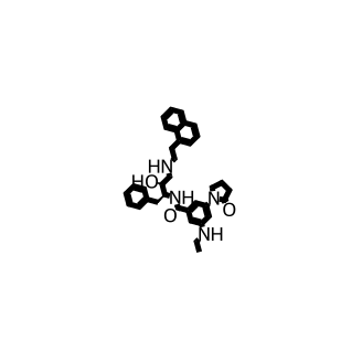 CCNc1cc(C(=O)N[C@@H](Cc2ccccc2)[C@H](O)CNCCc2cccc3ccccc23)cc(N2CCCC2=O)c1